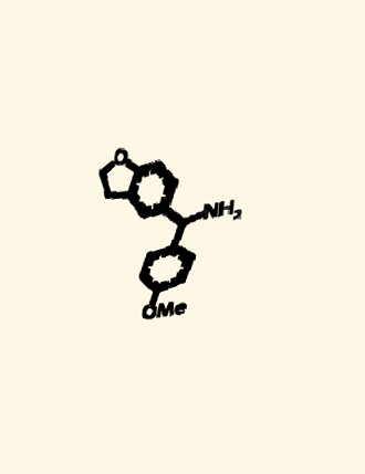 COc1ccc(C(N)c2ccc3c(c2)CCO3)cc1